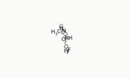 Cc1cc2cc(NC(=O)C=Cc3ccc(C(F)(F)F)cc3)ccc2nc1N1CC2CCC1C2